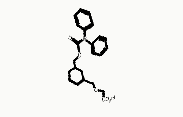 O=C(O)COCC1CCCC(COC(=O)N(c2ccccc2)c2ccccc2)C1